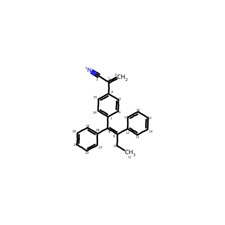 C=C(C#N)c1ccc(C(=C(CC)c2ccccc2)c2ccccc2)cc1